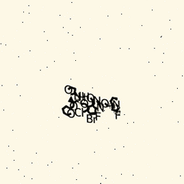 Oc1nc(OC[C@@]23CCCN2C[C@H](F)C3)nc2c(F)c(Br)c(Cl)c(OC[C@@H](NC3CCOC3)C3(OC4CCCCO4)CC3)c12